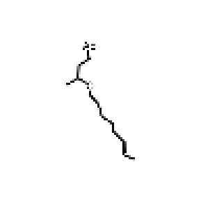 CC=CCCCCCOC(C)CCC(C)=O